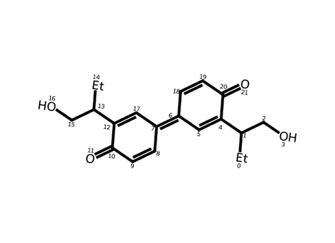 CCC(CO)C1=C/C(=C2\C=CC(=O)C(C(CC)CO)=C2)C=CC1=O